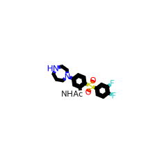 CC(=O)Nc1cc(N2CCCNCC2)ccc1S(=O)(=O)c1ccc(F)c(F)c1